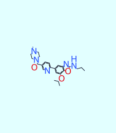 CCCNc1nc2cc(-c3ccc(C(=O)N4CCN(C)CC4)cn3)cc(OC(C)C)c2o1